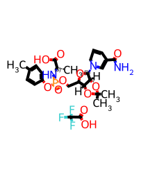 Cc1ccc(OP(=O)(N[C@@H](C)C(=O)O)OCC2O[C@@H](N3C=C(C(N)=O)C=CC3)[C@@H]3OC(C)(C)O[C@H]23)cc1.O=C(O)C(F)(F)F